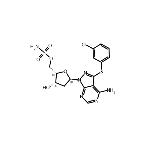 Nc1ncnc2c1c(Sc1cccc(Cl)c1)nn2[C@H]1C[C@H](O)[C@H](COS(N)(=O)=O)O1